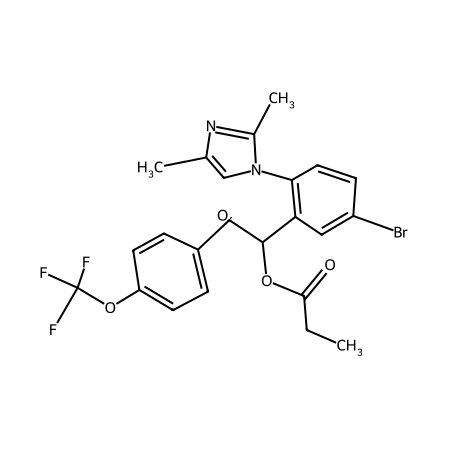 CCC(=O)OC(C(=O)c1ccc(OC(F)(F)F)cc1)c1cc(Br)ccc1-n1cc(C)nc1C